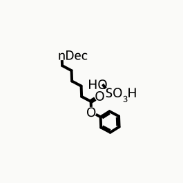 CCCCCCCCCCCCCCCC(=O)Oc1ccccc1.O=S(=O)(O)O